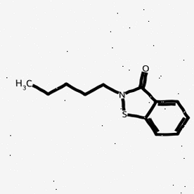 CCCCCn1sc2ccccc2c1=O